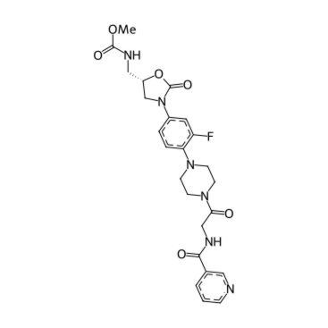 COC(=O)NC[C@H]1CN(c2ccc(N3CCN(C(=O)CNC(=O)c4cccnc4)CC3)c(F)c2)C(=O)O1